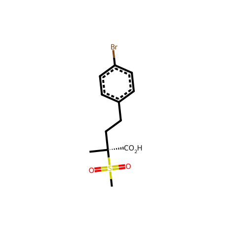 C[C@](CCc1ccc(Br)cc1)(C(=O)O)S(C)(=O)=O